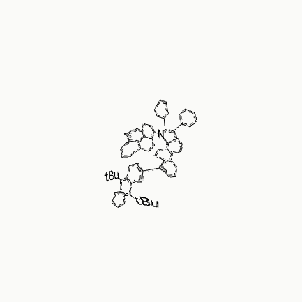 CC(C)(C)c1c2ccccc2c(C(C)(C)C)c2cc(-c3cccc4c3ccc3c4ccc4c(-c5ccccc5)c(-c5ccccc5)n(-c5ccc6ccc7cccc8ccc5c6c78)c43)ccc12